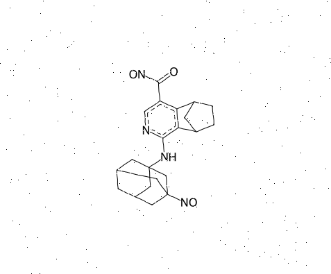 O=NC(=O)c1cnc(NC23CC4CC(CC(N=O)(C4)C2)C3)c2c1C1CCC2C1